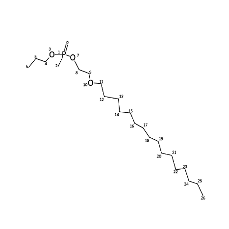 C=P(C)(OCCC)OCCOCCCCCCCCCCCCCCCC